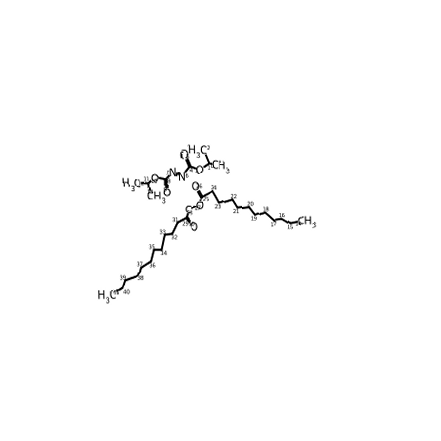 CC(C)OC(=O)N=NC(=O)OC(C)C.CCCCCCCCCCCC(=O)OOC(=O)CCCCCCCCCCC